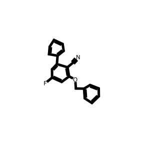 N#Cc1c(OCc2ccccc2)cc(F)cc1-c1ccccc1